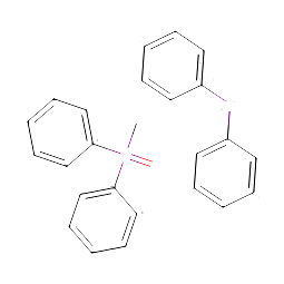 CP(=O)(c1ccccc1)c1ccccc1.c1ccc(Pc2ccccc2)cc1